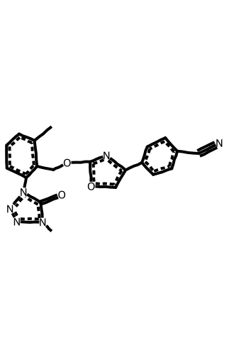 Cc1cccc(-n2nnn(C)c2=O)c1COc1nc(-c2ccc(C#N)cc2)co1